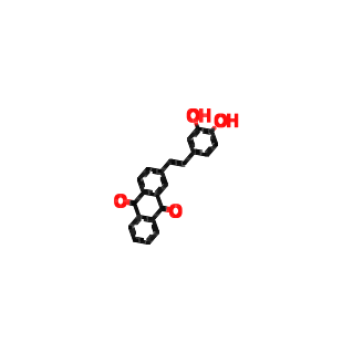 O=C1c2ccccc2C(=O)c2cc(C=Cc3ccc(O)c(O)c3)ccc21